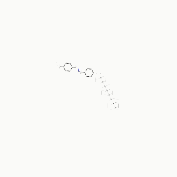 CN(C)c1ccc(/N=N/c2ccc(OC(F)(F)C(F)(F)C(F)(F)C(F)(F)C(F)(F)C(F)(F)C(F)(F)C(F)(F)F)cc2)cc1